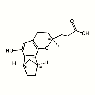 C[C@@]1(CCC(=O)O)CCc2cc(O)c3c(c2O1)[C@H]1CC[C@@H]3C1